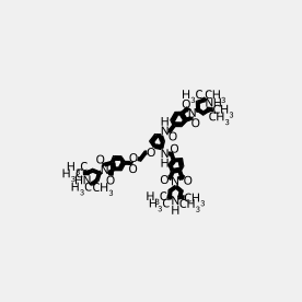 CC1(C)CC(N2C(=O)c3ccc(C(=O)Nc4ccc(OCCOC(=O)c5ccc6c(c5)C(=O)N(C5CC(C)(C)NC(C)(C)C5)C6=O)c(NC(=O)c5ccc6c(c5)C(=O)N(C5CC(C)(C)NC(C)(C)C5)C6=O)c4)cc3C2=O)CC(C)(C)N1